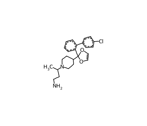 CC(CCN)N1CCC(C2(c3ccccc3-c3ccc(Cl)cc3)OC=CO2)CC1